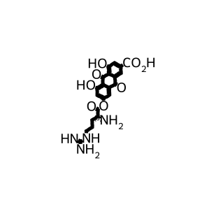 N=C(N)NCCC[C@H](N)C(=O)Oc1cc(O)c2c(c1)C(=O)c1cc(C(=O)O)cc(O)c1C2=O